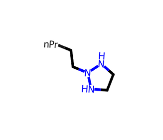 CCCCCN1NCCN1